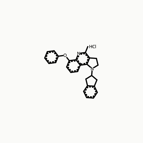 Cc1nc2c(Oc3ccccc3)cccc2c2c1CCN2C1Cc2ccccc2C1.Cl